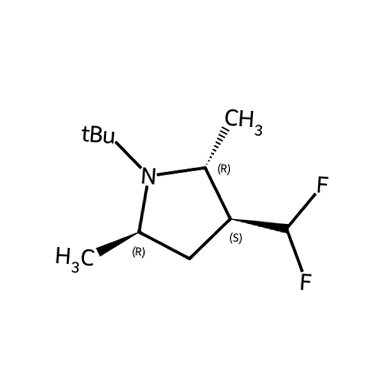 C[C@@H]1C[C@H](C(F)F)[C@@H](C)N1C(C)(C)C